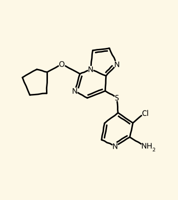 Nc1nccc(Sc2cnc(OC3CCCC3)n3ccnc23)c1Cl